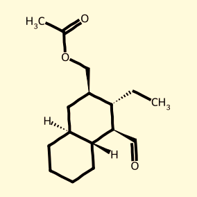 CC[C@H]1[C@H](COC(C)=O)C[C@@H]2CCCC[C@H]2[C@@H]1C=O